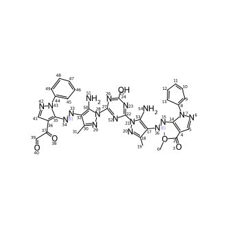 COC(=O)c1cnn(-c2ccccc2)c1/N=N/c1c(C)nn(-c2nc(O)nc(-n3nc(C)c(/N=N/c4c(C(=O)C=O)cnn4-c4ccccc4)c3N)n2)c1N